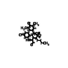 CCCC/C(=C(\C(=N)C=O)C(c1ccc(Cl)cc1)N(C)c1cc(C)c(=O)n(C)c1)C(F)(F)F